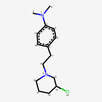 CN(C)c1ccc(CCN2CCCC(Cl)C2)cc1